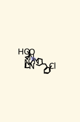 O=C(O)C1(/N=C(\c2ncccn2)N2CCC(Cc3ccccc3Cl)CC2)CC1